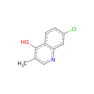 Cc1cnc2cc(Cl)ccc2c1O